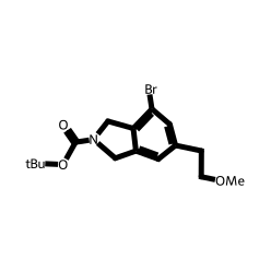 COCCc1cc(Br)c2c(c1)CN(C(=O)OC(C)(C)C)C2